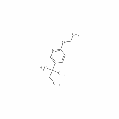 CCOc1ccc(C(C)(C)CC)cn1